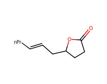 CCCC=CCC1CCC(=O)O1